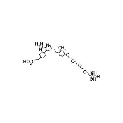 Cc1cc(OCCOCCOCCOCC[PH](O)(O)O)ccc1CCc1cnc2c(N)nc3cc(CCC(=O)O)ccc3c2c1